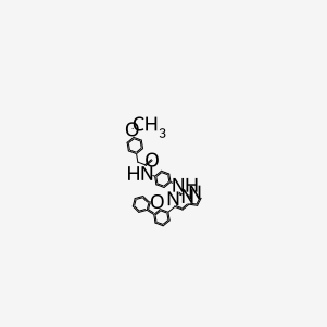 COc1ccc(CC(=O)Nc2ccc(Nc3nc(-c4cccc5c4oc4ccccc45)cc4ccnn34)cc2)cc1